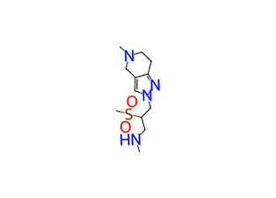 CNCC(Cn1cc2c(n1)CCN(C)C2)S(C)(=O)=O